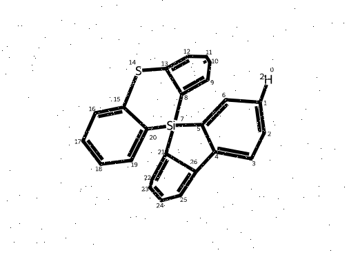 [2H]c1ccc2c(c1)[Si]1(c3ccccc3Sc3ccccc31)c1ccccc1-2